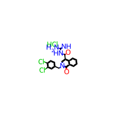 Cl.N=C(N)NC(=O)c1cn(Cc2ccc(Cl)c(Cl)c2)c(=O)c2ccccc12